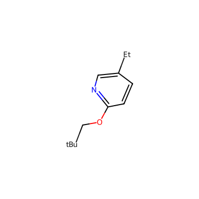 CCc1ccc(OCC(C)(C)C)nc1